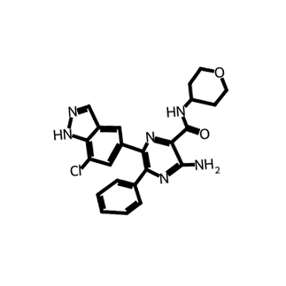 Nc1nc(-c2ccccc2)c(-c2cc(Cl)c3[nH]ncc3c2)nc1C(=O)NC1CCOCC1